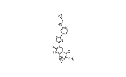 Cc1[nH]c(=O)c(-c2csc(-c3ccnc(NCC4CC4)c3)n2)cc1C(=O)N(C)C1CC1